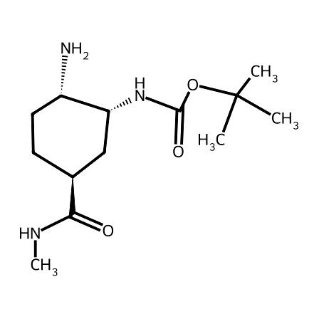 CNC(=O)[C@H]1CC[C@H](N)[C@H](NC(=O)OC(C)(C)C)C1